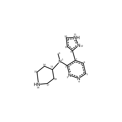 CN(c1nnccc1-c1[c]c[nH]n1)C1CCNCC1